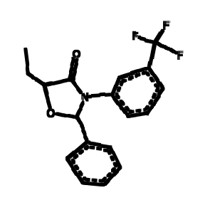 CCC1OC(c2ccccc2)N(c2cccc(C(F)(F)F)c2)C1=O